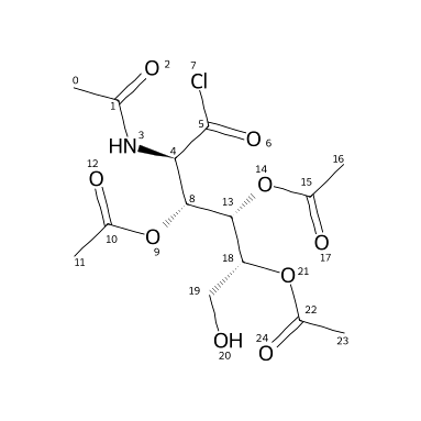 CC(=O)N[C@@H](C(=O)Cl)[C@@H](OC(C)=O)[C@H](OC(C)=O)[C@@H](CO)OC(C)=O